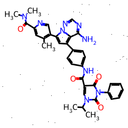 Cc1cc(C(=O)N(C)C)ncc1-c1cc(-c2ccc(NC(=O)c3cn(C(C)C)c(=O)n(-c4ccccc4)c3=O)cc2)c2c(N)ncnn12